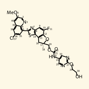 COc1cnc2c(-c3nc4cc(F)c5c(c4s3)C[C@](C)(COC(=O)Nc3cnc(OCCO)nc3)O5)cc(Cl)cc2c1